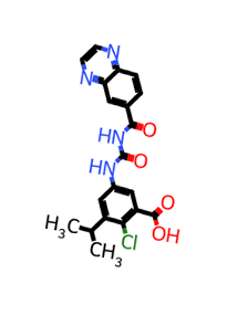 CC(C)c1cc(NC(=O)NC(=O)c2ccc3nccnc3c2)cc(C(=O)O)c1Cl